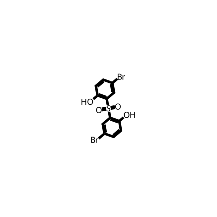 O=S(=O)(c1cc(Br)ccc1O)c1cc(Br)ccc1O